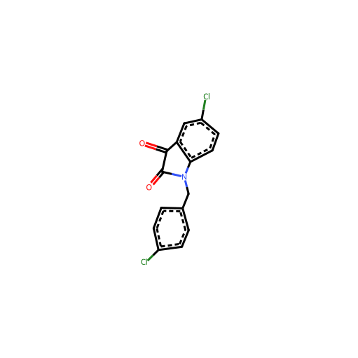 O=C1C(=O)N(Cc2ccc(Cl)cc2)c2ccc(Cl)cc21